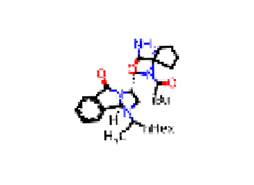 CCCCCCC(C)N1C[C@@H](CN(C(=O)C(C)CC)C2(C(N)=O)CCCC2)N2C(=O)c3ccccc3[C@H]12